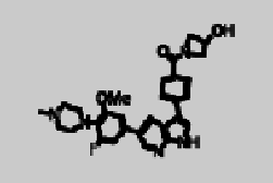 COc1cc(-c2cnc3[nH]cc(-c4ccc(C(=O)N5CC(O)C5)cc4)c3c2)cc(F)c1N1CCN(C)CC1